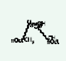 CCCCCCCCC(C)CCCCCCCC(=O)OCC(CO)OC(=O)CCCCCCCC(C)CCCCCCCC